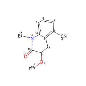 CCCOC1Cc2c(C#N)cccc2N(CC)C1=O